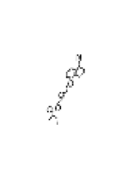 CCC(C)C(=O)OCCOCCOc1cccc2c(C#N)cccc12